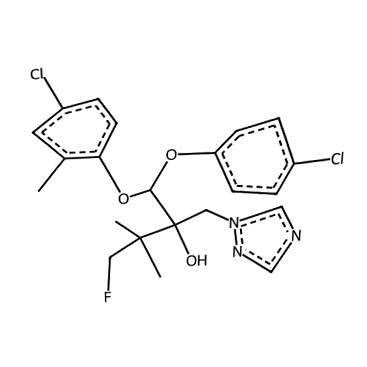 Cc1cc(Cl)ccc1OC(Oc1ccc(Cl)cc1)C(O)(Cn1cncn1)C(C)(C)CF